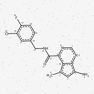 Cn1cc(N)c2ncnc(C(=O)NCc3ccc(F)c(Cl)c3)c21